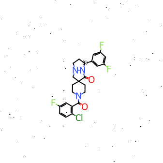 O=C(c1cc(F)ccc1Cl)N1CCC2(CC1)CN1CC[C@@H](c3cc(F)cc(F)c3)N1C2=O